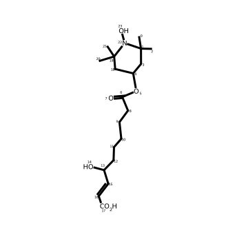 CC1(C)CC(OC(=O)CCCCCC(O)/C=C/C(=O)O)CC(C)(C)N1O